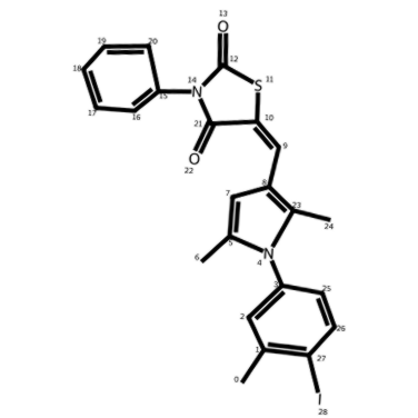 Cc1cc(-n2c(C)cc(C=C3SC(=O)N(c4ccccc4)C3=O)c2C)ccc1I